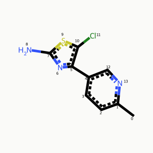 Cc1ccc(-c2nc(N)sc2Cl)cn1